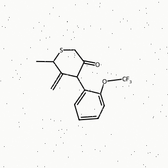 C=C1C(C)SCC(=O)C1c1ccccc1OC(F)(F)F